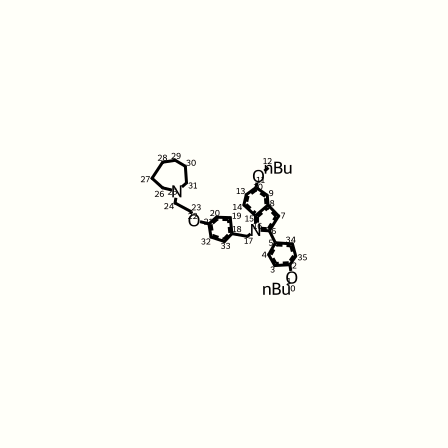 CCCCOc1ccc(-c2cc3cc(OCCCC)ccc3n2Cc2ccc(OCCN3CCCCCC3)cc2)cc1